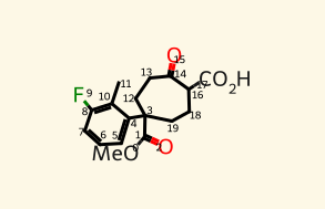 COC(=O)C1(c2cccc(F)c2C)CCC(=O)C(C(=O)O)CC1